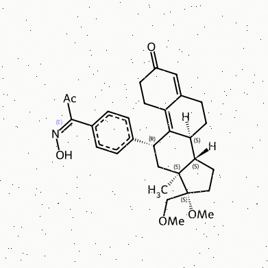 COC[C@]1(OC)CC[C@H]2[C@@H]3CCC4=CC(=O)CCC4=C3[C@@H](c3ccc(/C(=N\O)C(C)=O)cc3)C[C@@]21C